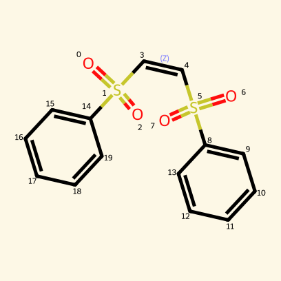 O=S(=O)(/C=C\S(=O)(=O)c1ccccc1)c1ccccc1